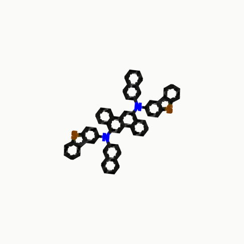 c1ccc2cc(N(c3ccc4sc5ccccc5c4c3)c3cc4c5ccccc5c(N(c5ccc6ccccc6c5)c5ccc6sc7ccccc7c6c5)cc4c4ccccc34)ccc2c1